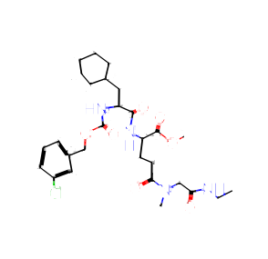 CCNC(=O)CN(C)C(=O)CCC(NC(=O)C(CC1CCCCC1)NC(=O)OCc1cccc(Cl)c1)C(=O)OC